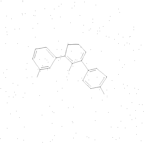 Cc1ccc(C2=CC[CH]C(c3cccc(Cl)c3)=C2Cl)cc1